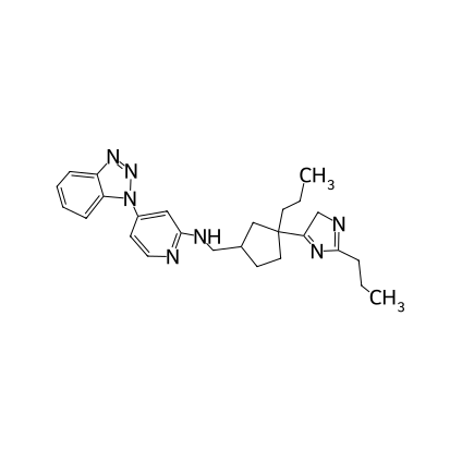 CCCC1=NCC(C2(CCC)CCC(CNc3cc(-n4nnc5ccccc54)ccn3)C2)=N1